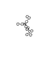 C1=CC(N(c2ccc(-c3ccccc3)cc2)c2ccc3c(c2)CC=C(C2=CC(c4ccccc4)(c4ccccc4)c4ccccc42)O3)CCC1c1cccc2ccccc12